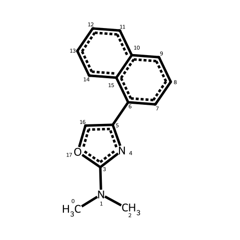 CN(C)c1nc(-c2cccc3ccccc23)co1